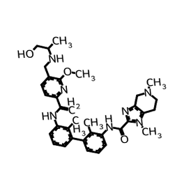 C=C(Nc1cccc(-c2cccc(NC(=O)c3nc4c(n3C)CCN(C)C4)c2C)c1C)c1ccc(CNC(C)CO)c(OC)n1